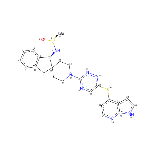 CC(C)(C)[S@+]([O-])N[C@@H]1c2ccccc2CC12CCN(c1ncc(Sc3ccnc4[nH]ccc34)nn1)CC2